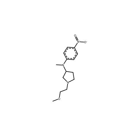 COCCN1CCC(N(C)c2ccc([N+](=O)[O-])cc2)C1